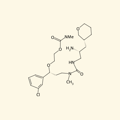 CNC(=O)OCCO[C@H](CCN(C)C(=O)NC[C@H](N)C[C@H]1CCCOC1)c1cccc(Cl)c1